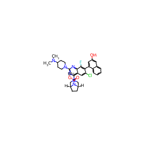 CN(C)C1CCN(c2nc(N3C[C@H]4CC[C@@H](C3)N4C(=O)OC(C)(C)C)c3cc(Cl)c(-c4cc(O)cc5ccccc45)c(F)c3n2)CC1